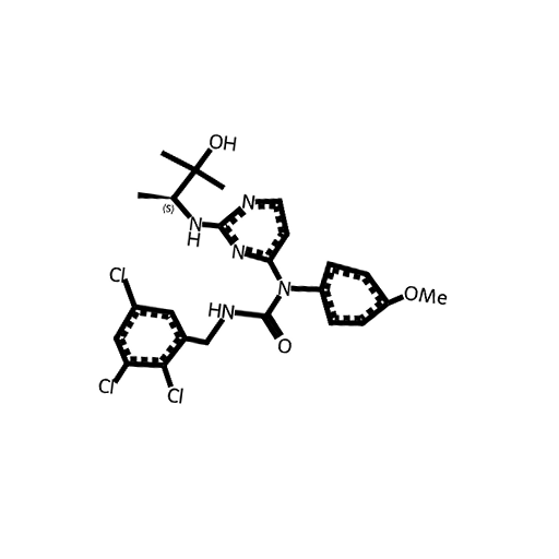 COc1ccc(N(C(=O)NCc2cc(Cl)cc(Cl)c2Cl)c2ccnc(N[C@@H](C)C(C)(C)O)n2)cc1